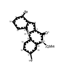 COn1c(=O)c2cc3c(Br)cccc3n2c2ccc(F)cc21